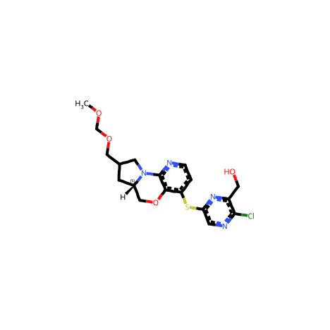 COCOCC1C[C@H]2COc3c(Sc4cnc(Cl)c(CO)n4)ccnc3N2C1